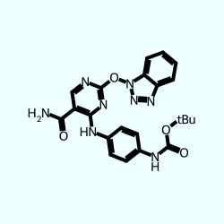 CC(C)(C)OC(=O)Nc1ccc(Nc2nc(On3nnc4ccccc43)ncc2C(N)=O)cc1